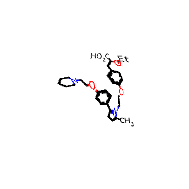 CCOC(Cc1ccc(OCCn2c(C)ccc2-c2ccc(OCCN3CCCCC3)cc2)cc1)C(=O)O